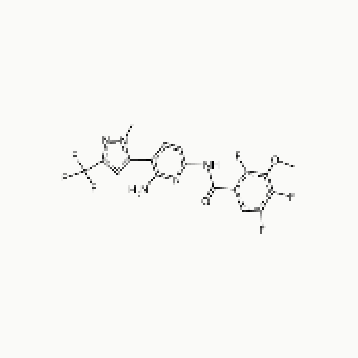 COc1c(F)c(F)cc(C(=O)Nc2ccc(-c3cc(C(F)(F)F)nn3C)c(N)n2)c1F